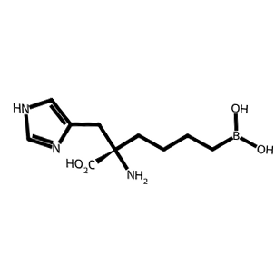 N[C@@](CCCCB(O)O)(Cc1c[nH]cn1)C(=O)O